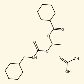 CC(OC(=O)NCC1CCCCC1)OC(=O)C1CCCCC1.O=C(O)O